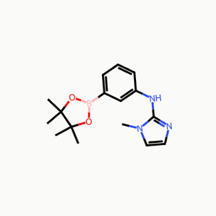 Cn1ccnc1Nc1cccc(B2OC(C)(C)C(C)(C)O2)c1